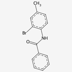 Cc1ccc(NC(=O)c2ccccc2)c(Br)c1